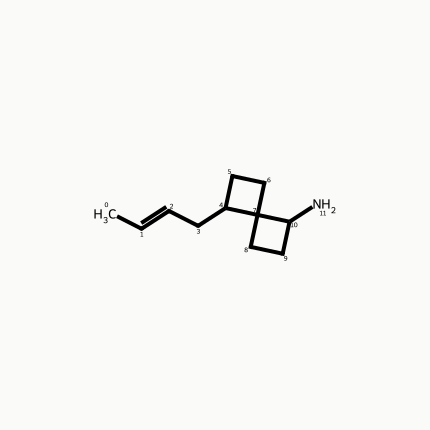 C/C=C/CC1CCC12CCC2N